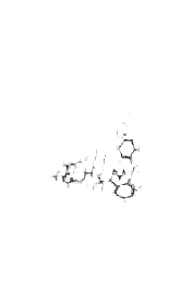 COc1ccc(Cn2nc(C(=O)NC3CC4CN(C)CC(C3)N4C)c3ccccc32)cc1